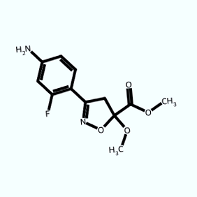 COC(=O)C1(OC)CC(c2ccc(N)cc2F)=NO1